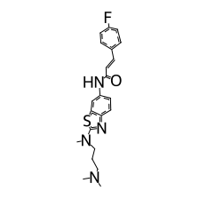 CN(C)CCCN(C)c1nc2ccc(NC(=O)/C=C/c3ccc(F)cc3)cc2s1